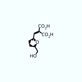 O=C(O)C(=Cc1ccc(CO)o1)C(=O)O